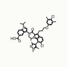 Cc1cc(OCCCc2c3n(c4c(-c5c(C)nn(C)c5C)c(Cl)ccc24)C(C)CN(c2cn(C(C)C)c4ccc(C(=O)O)cc24)C3=O)cc(C)c1Cl